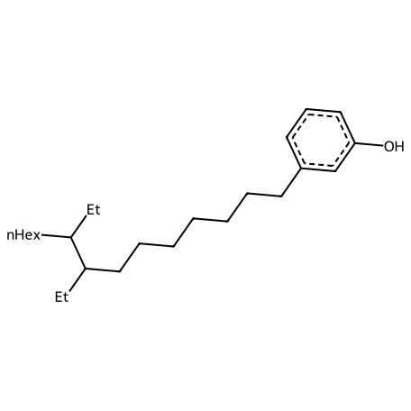 CCCCCCC(CC)C(CC)CCCCCCCc1cccc(O)c1